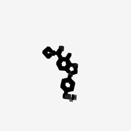 Cc1c(C(=O)N2CCC2)ccc2c1OCN2c1ccc(C(=O)O)cc1